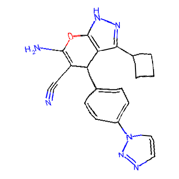 N#CC1=C(N)Oc2[nH]nc(C3CCC3)c2C1c1ccc(-n2ccnn2)cc1